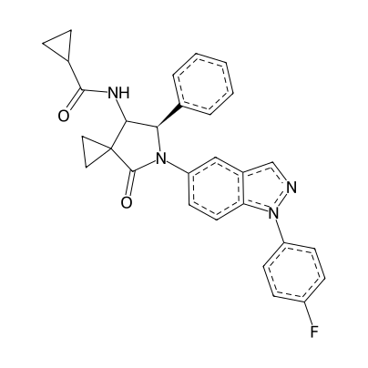 O=C(NC1[C@@H](c2ccccc2)N(c2ccc3c(cnn3-c3ccc(F)cc3)c2)C(=O)C12CC2)C1CC1